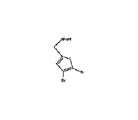 CCCCCCc1cc(Br)c(Br)s1